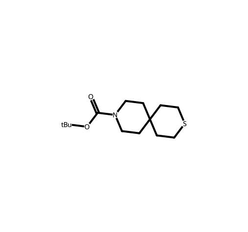 CC(C)(C)OC(=O)N1CCC2(CCSCC2)CC1